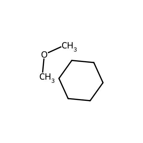 C1CCCCC1.COC